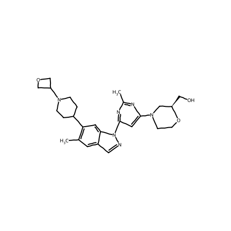 Cc1nc(N2CCO[C@H](CO)C2)cc(-n2ncc3cc(C)c(C4CCN(C5COC5)CC4)cc32)n1